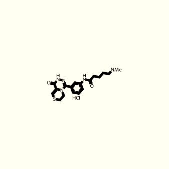 CNCCCCC(=O)Nc1cccc(C2=NNC(=O)C3=CSCCN32)c1.Cl